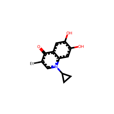 CCc1cn(C2CC2)c2cc(O)c(O)cc2c1=O